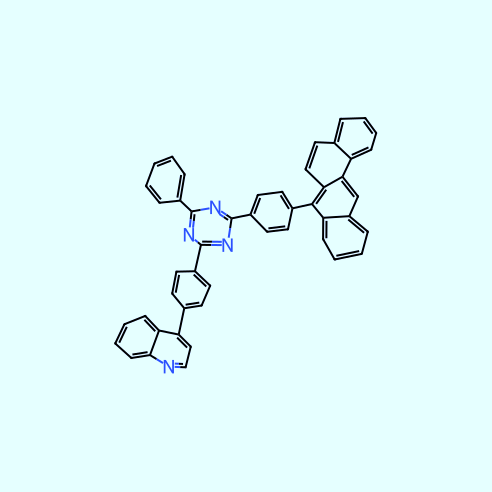 c1ccc(-c2nc(-c3ccc(-c4ccnc5ccccc45)cc3)nc(-c3ccc(-c4c5ccccc5cc5c4ccc4ccccc45)cc3)n2)cc1